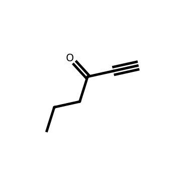 C#CC(=O)CCC